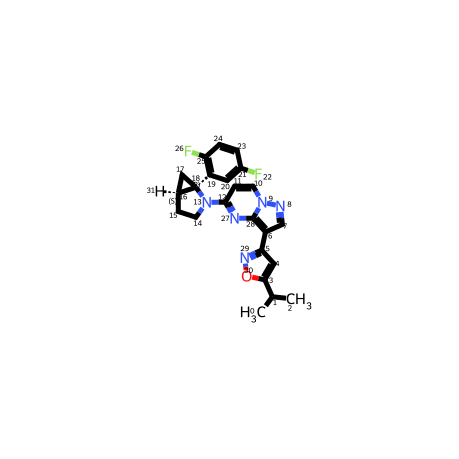 CC(C)c1cc(-c2cnn3ccc(N4CC[C@H]5C[C@]54c4cc(F)ccc4F)nc23)no1